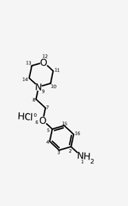 Cl.Nc1ccc(OCCN2CCOCC2)cc1